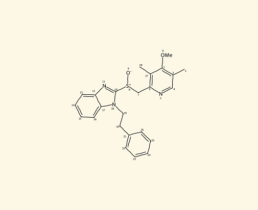 COc1c(C)cnc(C[S+]([O-])c2nc3ccccc3n2CCc2ccccc2)c1C